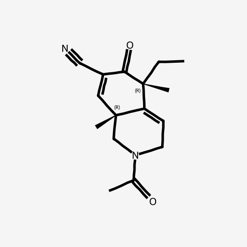 CC[C@@]1(C)C(=O)C(C#N)=C[C@@]2(C)CN(C(C)=O)CC=C12